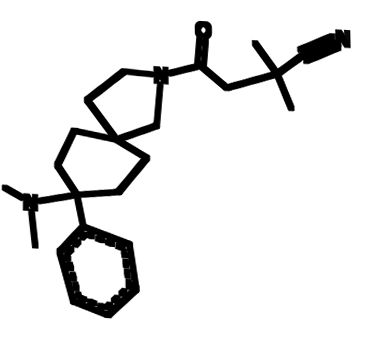 CN(C)C1(c2ccccc2)CCC2(CCN(C(=O)CC(C)(C)C#N)C2)CC1